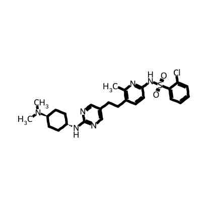 Cc1nc(NS(=O)(=O)c2ccccc2Cl)ccc1CCc1cnc(N[C@H]2CC[C@H](N(C)C)CC2)nc1